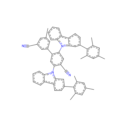 Cc1cc(C#N)cc(-c2cc(-n3c4ccccc4c4ccc(-c5c(C)cc(C)cc5C)cc43)c(C#N)cc2-n2c3ccccc3c3ccc(-c4c(C)cc(C)cc4C)cc32)c1